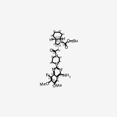 COc1cc2c(N)nc(N3CCN(C(=O)C[C@@H]4C[C@@H]5CCCC[C@@H]5N4C(=O)OC(C)(C)C)CC3)nc2c(F)c1OC